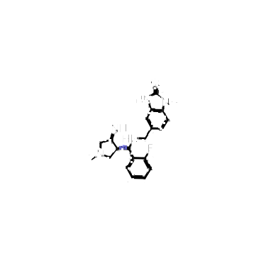 CN1CC(=N)/C(=C(\NCc2ccc3[nH]c(=O)[nH]c3c2)c2ccccc2F)C1